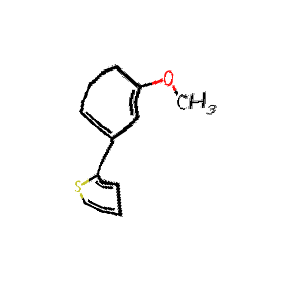 COC1=CC(c2cccs2)=CCC1